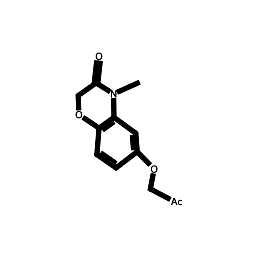 CC(=O)COc1ccc2c(c1)N(C)C(=O)CO2